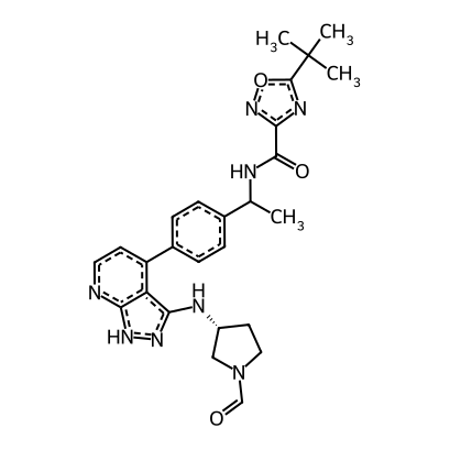 CC(NC(=O)c1noc(C(C)(C)C)n1)c1ccc(-c2ccnc3[nH]nc(N[C@@H]4CCN(C=O)C4)c23)cc1